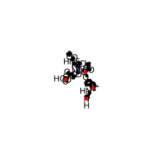 C[n+]1ccc2cc(OC[C@H](O/N=C(\C(=O)N[C@@H]3C(=O)N(OS(=O)(=O)O)C3(C)C)c3nc(NC(=O)OC(C)(C)C)sc3Cl)C(=O)OC(C)(C)C)ccc2c1NCC1CNC1